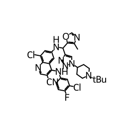 Cc1ncoc1C(Nc1cc(Cl)c2ncc(C#N)c(Nc3ccc(F)c(Cl)c3)c2c1)c1cn(C2CCN(C(C)(C)C)CC2)nn1